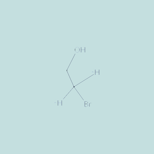 [2H]C([2H])(Br)CO